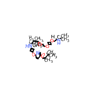 CC(C)[C@@H](C)COc1ccc(O[C@H]2C[C@@H](NC(C)(C)CC(C)(C)COCCO[C@H]3C[C@H](OCCNC(C)(C)C)C3)C2)nc1